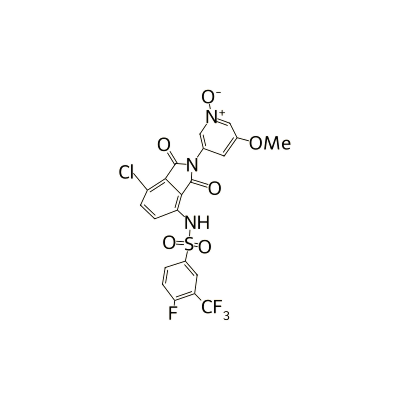 COc1cc(N2C(=O)c3c(Cl)ccc(NS(=O)(=O)c4ccc(F)c(C(F)(F)F)c4)c3C2=O)c[n+]([O-])c1